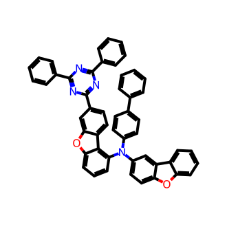 c1ccc(-c2ccc(N(c3ccc4oc5ccccc5c4c3)c3cccc4oc5cc(-c6nc(-c7ccccc7)nc(-c7ccccc7)n6)ccc5c34)cc2)cc1